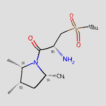 C[C@H]1C[C@@H](C#N)N(C(=O)[C@@H](N)CS(=O)(=O)C(C)(C)C)[C@H]1C